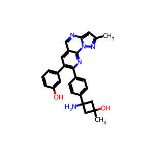 Cc1cc2ncc3cc(-c4cccc(O)c4)c(-c4ccc(C5(N)CC(C)(O)C5)cc4)nc3n2n1